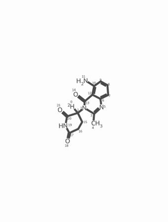 [2H]C1(n2c(C)nc3cccc(N)c3c2=O)CCC(=O)NC1=O